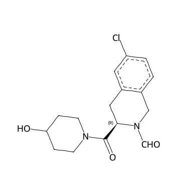 O=CN1Cc2ccc(Cl)cc2C[C@@H]1C(=O)N1CCC(O)CC1